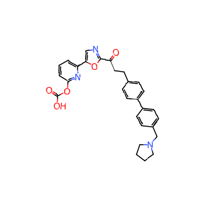 O=C(O)Oc1cccc(-c2cnc(C(=O)CCc3ccc(-c4ccc(CN5CCCC5)cc4)cc3)o2)n1